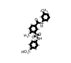 Cc1cccc(NC(=O)c2ccc(C)c(S(=O)(=O)Nc3ccc(C(=O)O)cc3)c2)c1